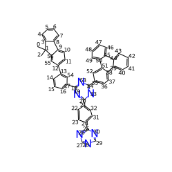 CC1(C)c2ccccc2-c2ccc(-c3cccc(-c4nc(-c5ccc(-c6ncncn6)cc5)nc(-c5ccc6c7ccccc7c7ccccc7c6c5)n4)c3)cc21